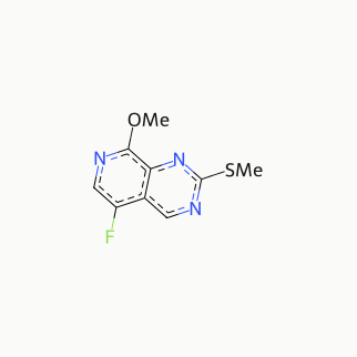 COc1ncc(F)c2cnc(SC)nc12